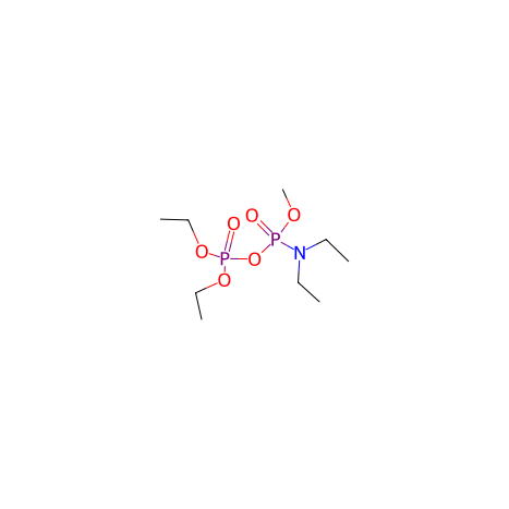 CCOP(=O)(OCC)OP(=O)(OC)N(CC)CC